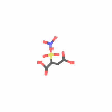 O=C(O)CC(C(=O)O)S(=O)(=O)O.O=[NH+][O-]